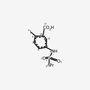 CCCS(=O)(=O)Nc1ccc(I)c(C(=O)O)c1